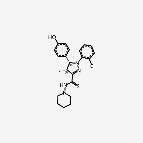 C[C@H]1C(C(=S)NN2CCCCC2)=NN(c2ccccc2Cl)[C@H]1c1ccc(O)cc1